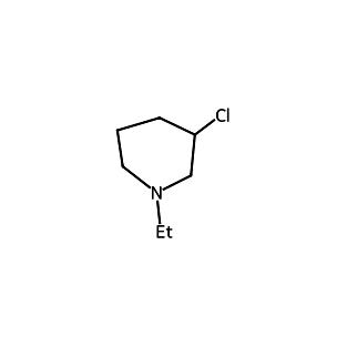 CCN1CCCC(Cl)C1